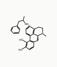 CC(N)Cc1ccccc1.CN1CCc2cccc3c2[C@H]1Cc1ccc(O)c(O)c1-3